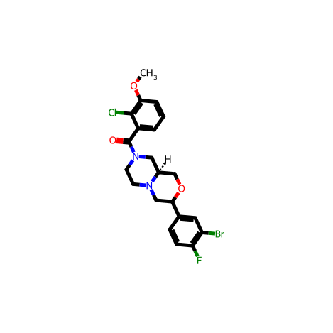 COc1cccc(C(=O)N2CCN3CC(c4ccc(F)c(Br)c4)OC[C@@H]3C2)c1Cl